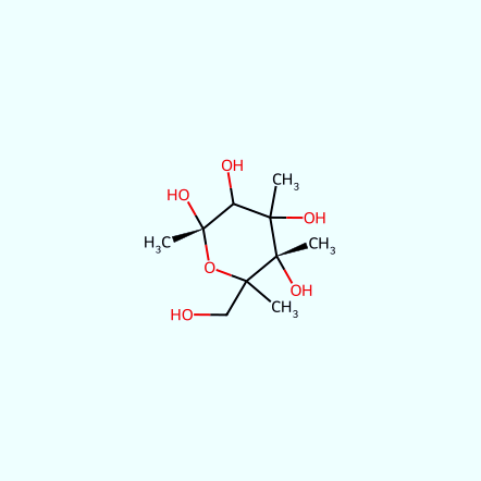 CC1(CO)O[C@](C)(O)C(O)C(C)(O)[C@]1(C)O